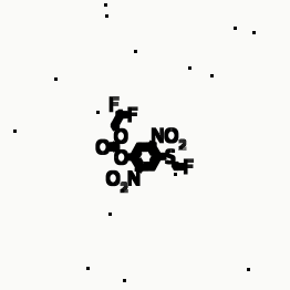 O=C(OCC(F)F)Oc1cc([N+](=O)[O-])c(SCF)cc1[N+](=O)[O-]